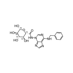 O=C(Nn1cnc(NCc2ccccc2)c2ncnc1-2)[C@H]1O[C@@H](O)[C@H](O)[C@@H](O)[C@@H]1O